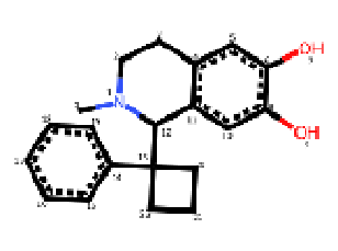 CN1CCc2cc(O)c(O)cc2C1C1(c2ccccc2)CCC1